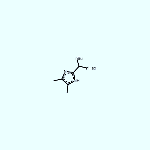 CCCCCCC(CCCC)c1nc(C)c(C)[nH]1